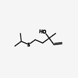 C=CC(C)(O)CCSC(C)C